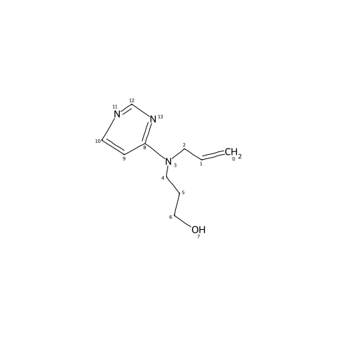 C=CCN(CCCO)c1ccncn1